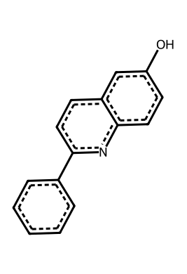 Oc1ccc2nc(-c3ccccc3)ccc2c1